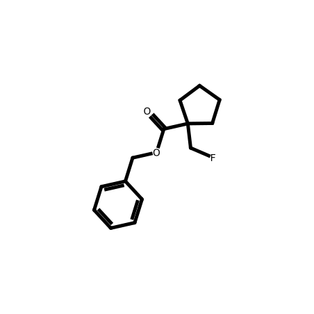 O=C(OCc1ccccc1)C1(CF)CCCC1